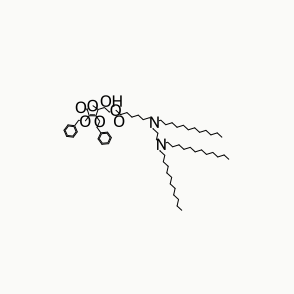 CCCCCCCCCCCCN(CCCCCCCCCCCC)CCCN(CCCCCCCCCCCC)CCCCCC(=O)OCC(O)C1OC(=O)C(OCc2ccccc2)=C1OCc1ccccc1